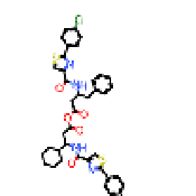 O=C(CC(Cc1ccccc1)NC(=O)c1csc(-c2ccc(Cl)cc2)n1)OC(=O)CC(NC(=O)c1csc(-c2ccc(Cl)cc2)n1)C1CCCCC1